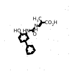 CC(=CNC(=O)Nc1cc(-c2ccccc2)ccc1O)C(=O)O